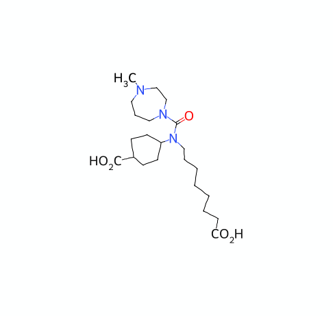 CN1CCCN(C(=O)N(CCCCCCCC(=O)O)C2CCC(C(=O)O)CC2)CC1